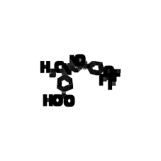 CN(C1=NO[C@@H](c2ccc(OC(F)(F)F)cc2)C1)c1ccc(C(=O)O)cc1